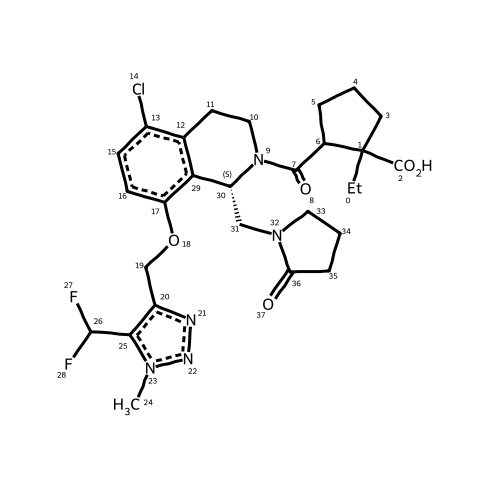 CCC1(C(=O)O)CCCC1C(=O)N1CCc2c(Cl)ccc(OCc3nnn(C)c3C(F)F)c2[C@H]1CN1CCCC1=O